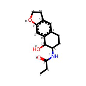 CCC(=O)NC1CCc2cc3c(cc2C1O)OCC3